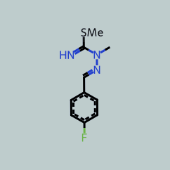 CSC(=N)N(C)/N=C/c1ccc(F)cc1